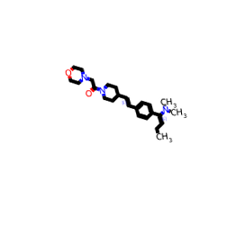 CC/C=C(\c1ccc(/C=C/C2CCN(C(=O)CN3CCOCC3)CC2)cc1)N(C)C